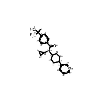 CC(O)(c1ccc(C(=O)N(C2CCC(c3cccnc3)CC2)C2CC2)cc1)C(F)(F)F